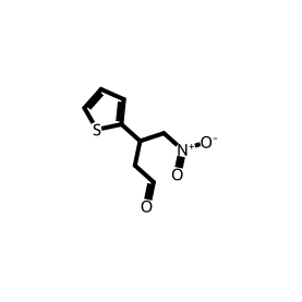 O=CCC(C[N+](=O)[O-])c1cccs1